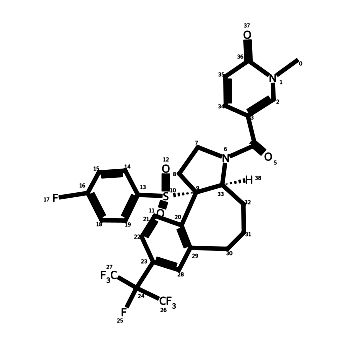 Cn1cc(C(=O)N2CC[C@]3(S(=O)(=O)c4ccc(F)cc4)c4ccc(C(F)(C(F)(F)F)C(F)(F)F)cc4CCC[C@H]23)ccc1=O